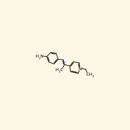 CC[n+]1ccc(/C(C)=C/c2ccc(N)cc2)cc1